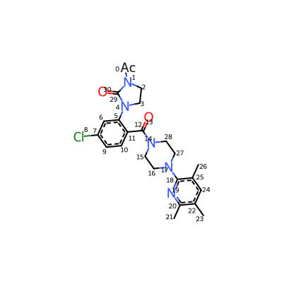 CC(=O)N1CCN(c2cc(Cl)ccc2C(=O)N2CCN(c3nc(C)c(C)cc3C)CC2)C1=O